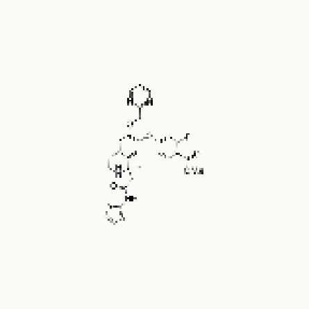 COC(=O)c1ccc(Oc2cc3c(cc2OCc2ncccn2)CCN[C@]3(C)CC(=O)Nc2nccs2)cc1F